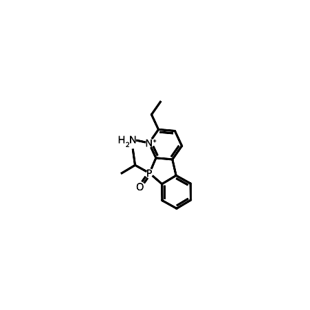 CCc1ccc2c([n+]1N)P(=O)(C(C)C)c1ccccc1-2